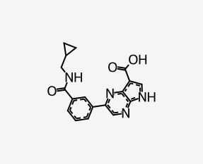 O=C(NCC1CC1)c1cccc(-c2cnc3[nH]cc(C(=O)O)c3n2)c1